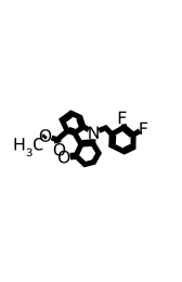 COC(=O)c1cccc2c1c1c(n2Cc2cccc(F)c2F)CCCC1=O